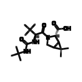 CC(C)(C)NC(=O)N[C@H](C(=O)N1CC2C([C@H]1C(=O)O)C2(C)C)C(C)(C)C